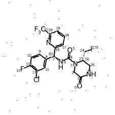 O=C1CN(C(=O)N[C@@H](c2ccc(F)c(Cl)c2)c2cccc(C(F)(F)F)n2)[C@H](CF)CN1